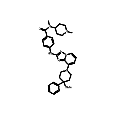 COC1(c2ccccc2)CCN(c2cccn3nc(Nc4ccc(C(=O)N(C)C5CCN(C)CC5)cc4)nc23)CC1